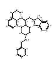 c1ccc(CN[C@H]2CC[C@H](N(Cc3nc4ccccc4[nH]3)C3CCCc4cccnc43)CC2)cc1